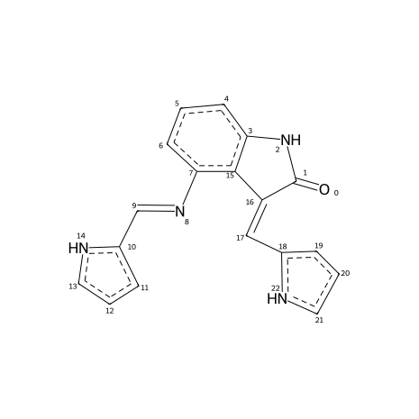 O=C1Nc2cccc(/N=C/c3ccc[nH]3)c2/C1=C/c1ccc[nH]1